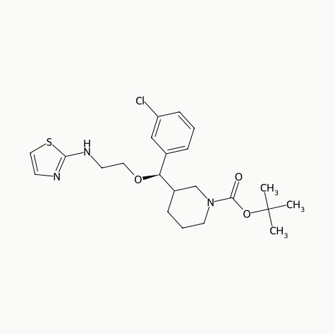 CC(C)(C)OC(=O)N1CCCC([C@@H](OCCNc2nccs2)c2cccc(Cl)c2)C1